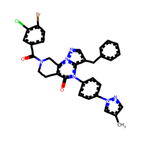 Cc1cnn(-c2ccc(-n3c(=O)c4c(n5ncc(Cc6ccccc6)c35)CN(C(=O)c3ccc(Br)c(Cl)c3)CC4)cc2)c1